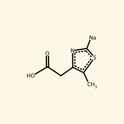 Cc1s[c]([Na])nc1CC(=O)O